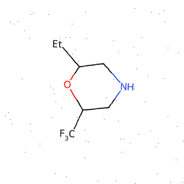 CCC1CNCC(C(F)(F)F)O1